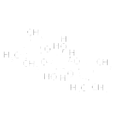 CC1CC(C)(C)CC2(C1)O[C@@H]1[C@@H](O2)[C@H](O)[C@@H]2OC3(CC(C)CC(C)(C)C3)OC2[C@H]1O